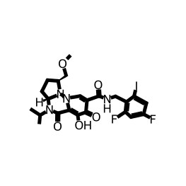 COC[C@@H]1CC[C@H]2N(C(C)C)C(=O)c3c(O)c(=O)c(C(=O)NCc4c(F)cc(F)cc4I)cn3N12